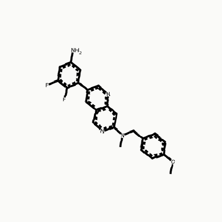 COc1ccc(CN(C)c2cc3ncc(-c4cc(N)cc(F)c4F)cc3cn2)cc1